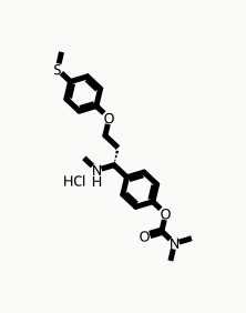 CN[C@H](CCOc1ccc(SC)cc1)c1ccc(OC(=O)N(C)C)cc1.Cl